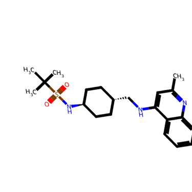 Cc1cc(NC[C@H]2CC[C@H](NS(=O)(=O)C(C)(C)C)CC2)c2ccccc2n1